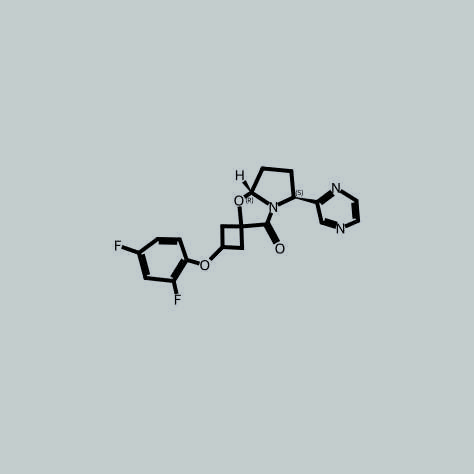 O=C1N2[C@@H](CC[C@H]2c2cnccn2)OC12CC(Oc1ccc(F)cc1F)C2